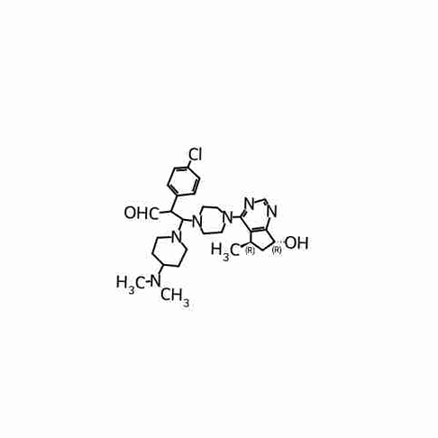 C[C@@H]1C[C@@H](O)c2ncnc(N3CCN(C(C(C=O)c4ccc(Cl)cc4)N4CCC(N(C)C)CC4)CC3)c21